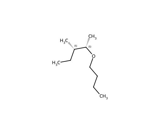 CCCCO[C@@H](C)[C@@H](C)CC